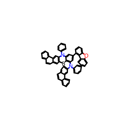 c1ccc(N2c3cc4c(ccc5ccccc54)cc3B3c4cc5ccc6ccccc6c5cc4N(c4ccccc4)c4cc(-c5cccc6oc7ccccc7c56)cc2c43)cc1